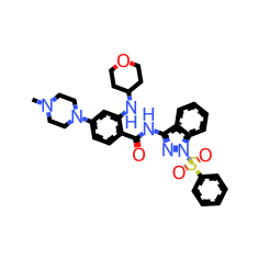 CN1CCN(c2ccc(C(=O)Nc3nn(S(=O)(=O)c4ccccc4)c4ccccc34)c(NC3CCOCC3)c2)CC1